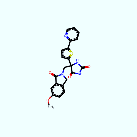 COc1ccc2c(c1)C(=O)N(CC1(c3ccc(-c4ccccn4)s3)NC(=O)NC1=O)C2